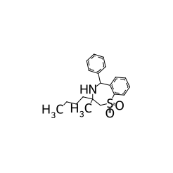 CCCCC1(C)CS(=O)(=O)c2ccccc2C(c2ccccc2)N1